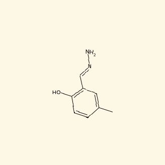 Cc1ccc(O)c(C=NN)c1